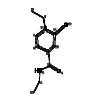 CCNC(=O)c1ccn(CC)c(=O)c1